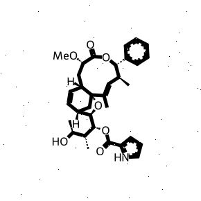 CO[C@H]1C[C@H]2C=C[C@@H]3C[C@]2(O[C@H]3[C@H](OC(=O)c2ccc[nH]2)[C@H](C)[C@H](C)O)/C(C)=C/[C@H](C)[C@@H](c2ccccc2)OC1=O